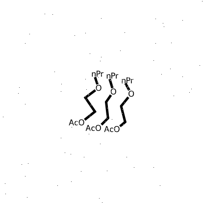 CCCOCCOC(C)=O.CCCOCCOC(C)=O.CCCOCCOC(C)=O